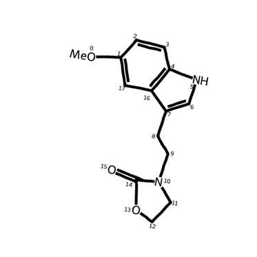 COc1ccc2[nH]cc(CCN3CCOC3=O)c2c1